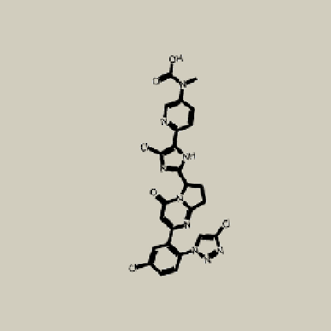 CN(C(=O)O)c1ccc(-c2[nH]c(C3CCc4nc(-c5cc(Cl)ccc5-n5cc(Cl)nn5)cc(=O)n43)nc2Cl)nc1